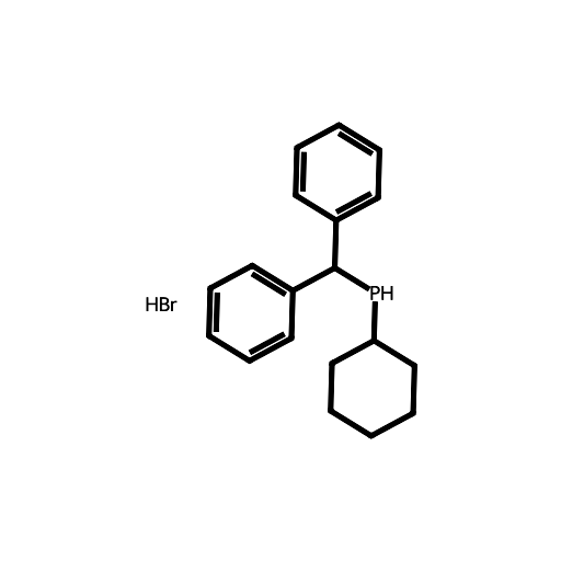 Br.c1ccc(C(PC2CCCCC2)c2ccccc2)cc1